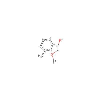 CCOCC[O].Cc1ccccc1